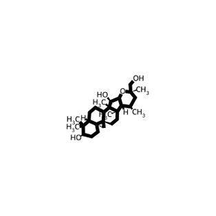 C[C@@H]1C[C@](C)(CO)OC2[C@H]1[C@@]1(C)CC[C@@]34C[C@@]35CC[C@H](O)C(C)(C)[C@@H]5CCC4[C@]1(C)[C@H]2O